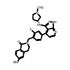 CC(C)(C)c1ccc2c(c1)CCN(Cc1ccc(-c3ccnc4[nH]nc(N[C@@H]5CCN(C=O)C5)c34)cc1F)C2=O